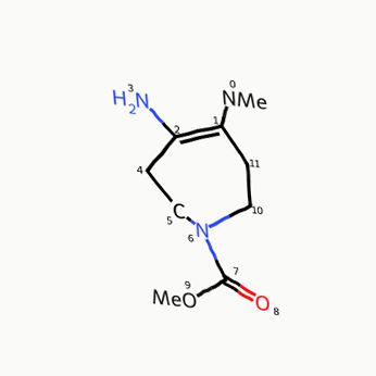 CNC1=C(N)CCN(C(=O)OC)CC1